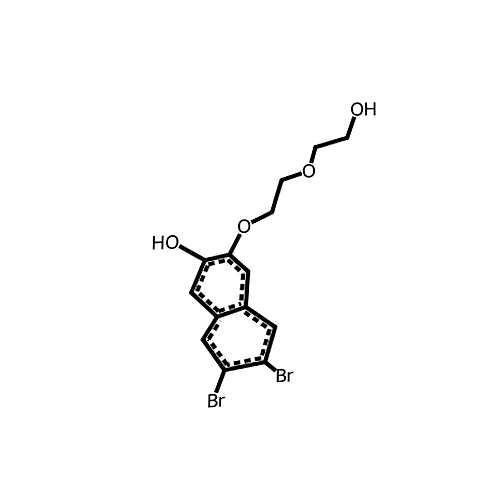 OCCOCCOc1cc2cc(Br)c(Br)cc2cc1O